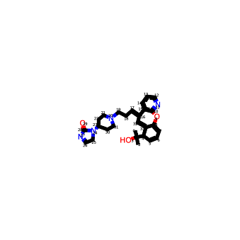 CC(C)(O)C1C=CC=C2Oc3ncccc3C(=CCCN3CCC(N4CC=NC4=O)CC3)C=C21